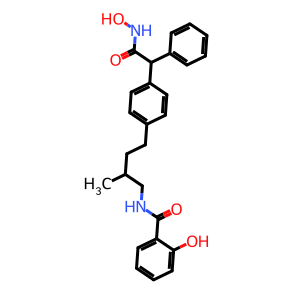 CC(CCc1ccc(C(C(=O)NO)c2ccccc2)cc1)CNC(=O)c1ccccc1O